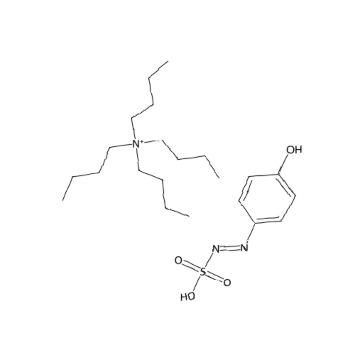 CCCC[N+](CCCC)(CCCC)CCCC.O=S(=O)(O)N=Nc1ccc(O)cc1